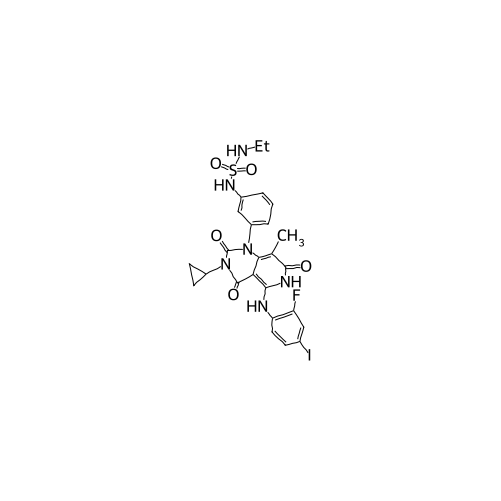 CCNS(=O)(=O)Nc1cccc(-n2c(=O)n(C3CC3)c(=O)c3c(Nc4ccc(I)cc4F)[nH]c(=O)c(C)c32)c1